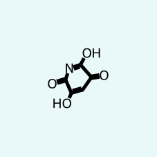 O=C1C=C(O)C(=O)N=C1O